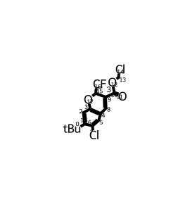 CC(C)(C)c1cc2c(cc1Cl)C=C(C(=O)OCCl)C(C(F)(F)F)O2